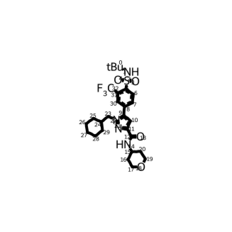 CC(C)(C)NS(=O)(=O)c1ccc(-c2cc(C(=O)NC3CCOCC3)nn2CC2CCCCC2)cc1C(F)(F)F